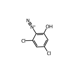 N#[N+]c1c(O)cc(Cl)cc1Cl